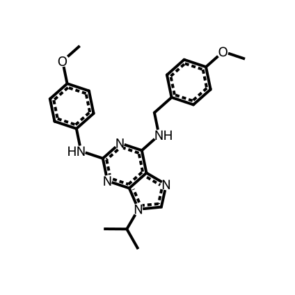 COc1ccc(CNc2nc(Nc3ccc(OC)cc3)nc3c2ncn3C(C)C)cc1